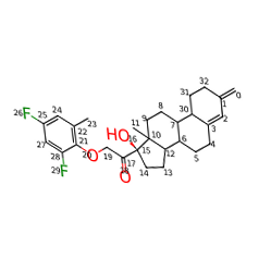 C=C1C=C2CCC3C(CCC4(C)C3CC[C@]4(O)C(=O)COc3c(C)cc(F)cc3F)C2CC1